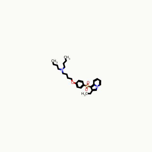 CCCCN(CCCC)CCCCOc1ccc(S(=O)(=O)c2c(CC)cn3ccccc23)cc1